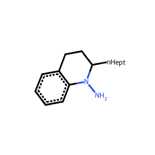 CCCCCCCC1CCc2ccccc2N1N